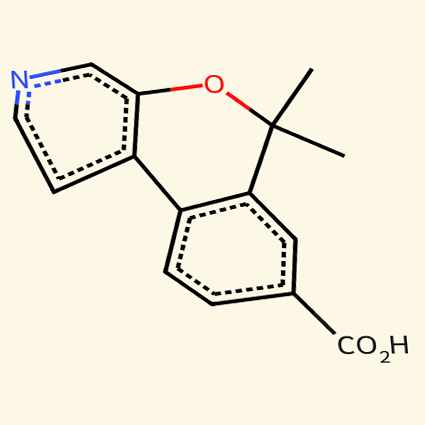 CC1(C)Oc2cnccc2-c2ccc(C(=O)O)cc21